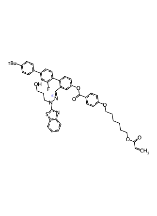 C=CC(=O)OCCCCCCOc1ccc(C(=O)Oc2ccc(-c3ccc(-c4ccc(CCCC)cc4)cc3F)c(/C=N/N(CCCO)c3nc4ccccc4s3)c2)cc1